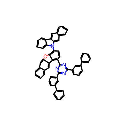 c1ccc(-c2cccc(-c3nc(-c4cccc(-c5ccccc5)c4)nc(-c4ccc(-n5c6ccccc6c6cc7ccccc7cc65)c5oc6cc7ccccc7cc6c45)n3)c2)cc1